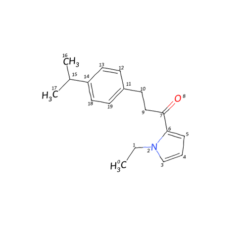 CCn1cccc1C(=O)CCc1ccc(C(C)C)cc1